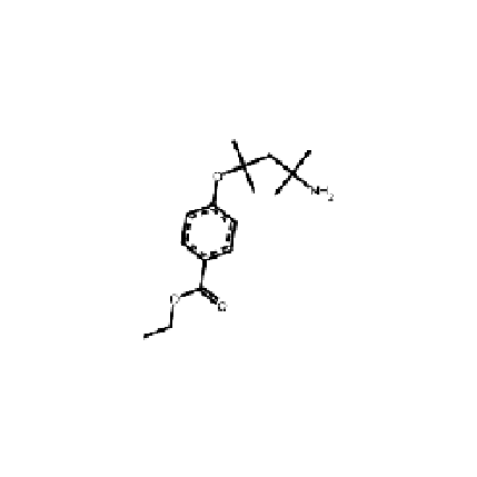 CCOC(=O)c1ccc(OC(C)(C)CC(C)(C)N)cc1